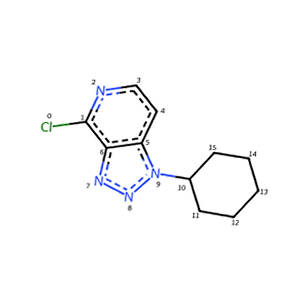 Clc1nccc2c1nnn2C1CCCCC1